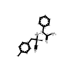 Cc1ccc(C[C@@](C)(C#N)N[C@@H](C(N)=O)c2ccccc2)cc1